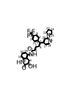 O=C(/C=C/C=C(\c1ccc(C(F)(F)F)cc1)c1ccnc(N2CCCC2)c1)Nc1cccc2c1CC(O)C(=O)N2